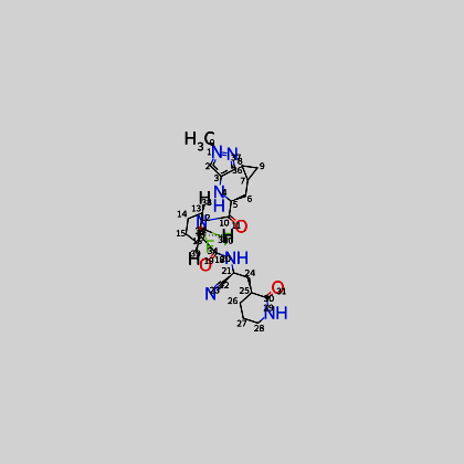 Cn1cc(N[C@@H](CC2CC2)C(=O)N2[C@H]3CC[C@@H]([C@@H]2C(=O)N[C@H](C#N)C[C@@H]2CCCNC2=O)C(F)(F)C3)cn1